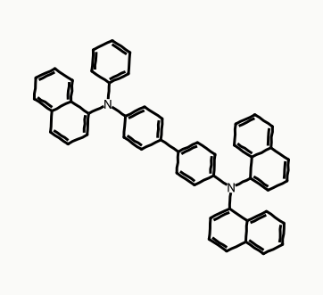 c1ccc(N(c2ccc(-c3ccc(N(c4cccc5ccccc45)c4cccc5ccccc45)cc3)cc2)c2cccc3ccccc23)cc1